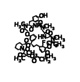 C=CC(=O)OCC(C)(C)C(=O)C(=O)N1CCCC[C@H]1C(=O)O[C@H](CCc1ccc(OC)c(OC)c1F)c1cccc(OCC(=O)N(C)[C@@H](Cc2ccc(O)cc2)C(=O)NCC(=O)N(C)CC(=O)NCC(=O)N(C)CC)c1